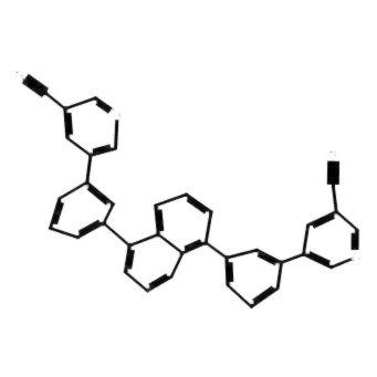 N#Cc1cncc(-c2cccc(-c3cccc4c(-c5cccc(-c6cncc(C#N)c6)c5)cccc34)c2)c1